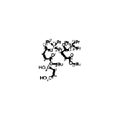 CCC(C)OC(=O)/C=C\C(=O)O[Si](C(C)C)(C(C)C)C(C)C.CCC(C)OC(=O)/C=C\C(=O)O[Si](C(C)C)(C(C)C)C(C)C.O=C(O)/C=C\C(=O)O